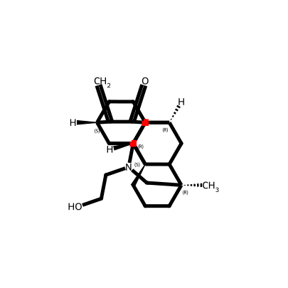 C=C1C(=O)C23CC[C@H]1CC2[C@@]12CCC[C@@]4(C)CN(CCO)[C@@H]1O[C@@H]3CC42